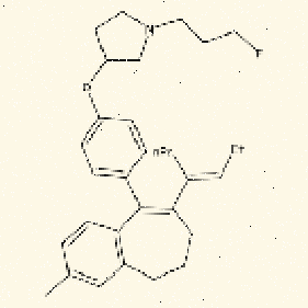 CC/C=C(\CCC)C1=C(c2ccc(OC3CCN(CCCF)C3)cc2)c2ccc(C)cc2CCC1